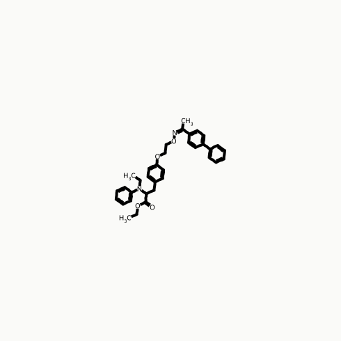 CCOC(=O)C(Cc1ccc(OCCON=C(C)c2ccc(-c3ccccc3)cc2)cc1)N(CC)c1ccccc1